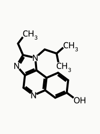 CCc1nc2cnc3cc(O)ccc3c2n1CC(C)C